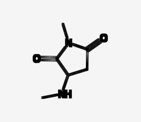 CNC1CC(=O)N(C)C1=O